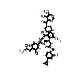 Cc1ncnc(C(=O)N2CCC3(CC2)CC(C)c2c3c(=O)n3nc(-c4ccc(CN(C)C)c(Cl)c4)nc3n2CC(=O)Nc2ccc(C3CC3)cc2Cl)c1O